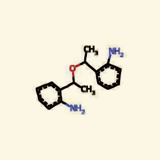 CC(OC(C)c1ccccc1N)c1ccccc1N